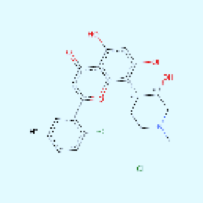 CN1CC[C@H](c2c(O)cc(O)c3c(=O)cc(-c4ccccc4Cl)oc23)[C@H](O)C1.[Cl-].[H+]